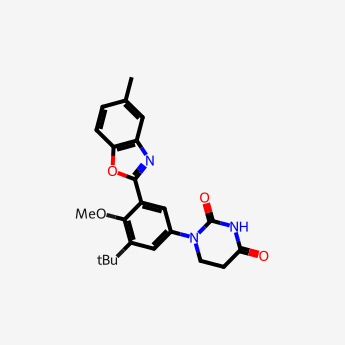 COc1c(-c2nc3cc(C)ccc3o2)cc(N2CCC(=O)NC2=O)cc1C(C)(C)C